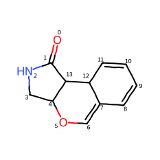 O=C1NCC2OC=C3C=CC=CC3C12